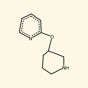 c1ccc(OC2CCCNC2)nc1